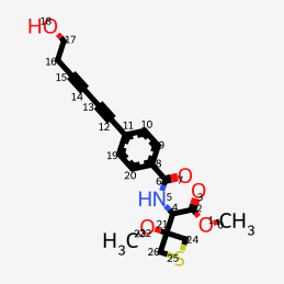 COC(=O)C(NC(=O)c1ccc(C#CC#CCCO)cc1)C1(OC)CSC1